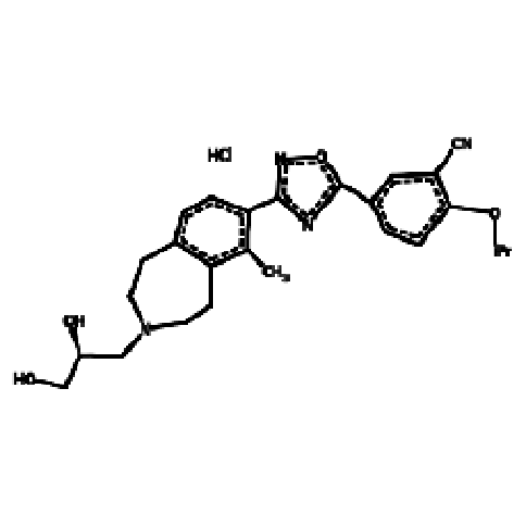 Cc1c(-c2noc(-c3ccc(OC(C)C)c(C#N)c3)n2)ccc2c1CCN(C[C@H](O)CO)CC2.Cl